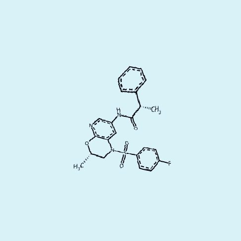 C[C@H](C(=O)Nc1cnc2c(c1)N(S(=O)(=O)c1ccc(F)cc1)C[C@H](C)O2)c1ccccc1